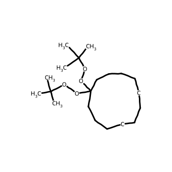 CC(C)(C)OOC1(OOC(C)(C)C)CCCCCCCCCCC1